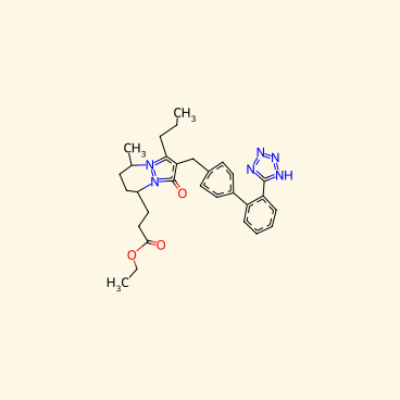 CCCc1c(Cc2ccc(-c3ccccc3-c3nnn[nH]3)cc2)c(=O)n2n1C(C)CCC2CCC(=O)OCC